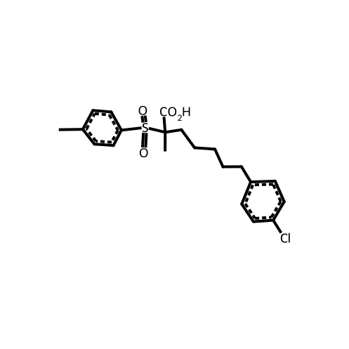 Cc1ccc(S(=O)(=O)C(C)(CCCCCc2ccc(Cl)cc2)C(=O)O)cc1